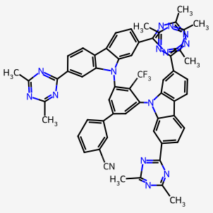 Cc1nc(C)nc(-c2ccc3c4ccc(-c5nc(C)nc(C)n5)cc4n(-c4cc(-c5cccc(C#N)c5)cc(-n5c6cc(-c7nc(C)nc(C)n7)ccc6c6ccc(-c7nc(C)nc(C)n7)cc65)c4C(F)(F)F)c3c2)n1